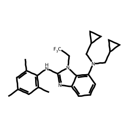 Cc1cc(C)c(Nc2nc3cccc(N(CC4CC4)CC4CC4)c3n2CC(F)(F)F)c(C)c1